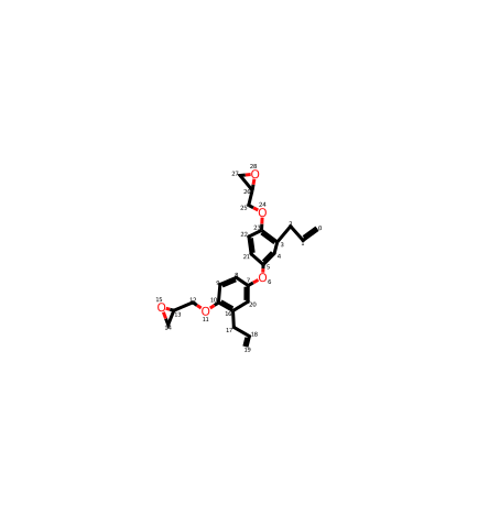 C=CCc1cc(Oc2ccc(OCC3CO3)c(CC=C)c2)ccc1OCC1CO1